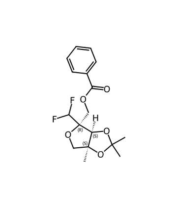 CC1(C)O[C@@H]2[C@](COC(=O)c3ccccc3)(C(F)F)OC[C@]2(C)O1